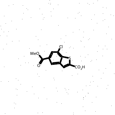 COC(=O)c1cc(Cl)c2sc(C(=O)O)cc2c1